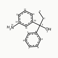 CCC(O)(c1ccccc1)c1cccc(N)c1